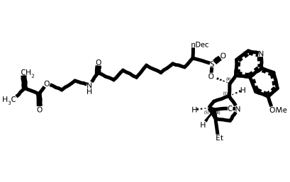 C=C(C)C(=O)OCCNC(=O)CCCCCCCC(CCCCCCCCCC)S(=O)O[C@H](c1ccnc2ccc(OC)cc12)[C@@H]1C[C@@H]2CCN1C[C@@H]2CC